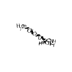 COCCOCCOCCOCCC[Si](O)(O)O